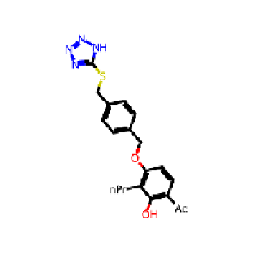 CCCc1c(OCc2ccc(CSc3nnn[nH]3)cc2)ccc(C(C)=O)c1O